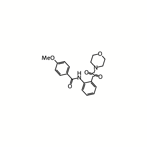 COc1ccc(C(=O)Nc2ccccc2S(=O)(=O)N2CCOCC2)cc1